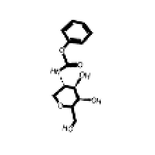 O=C(N[C@H]1COC(CO)[C@H](O)[C@@H]1O)Oc1ccccc1